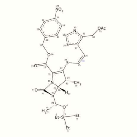 CC[Si](CC)(CC)O[C@H](C)[C@H]1C(=O)N2C(C(=O)OCc3ccc([N+](=O)[O-])cc3)=C(S/C=C\c3scnc3COC(C)=O)[C@H](C)[C@H]12